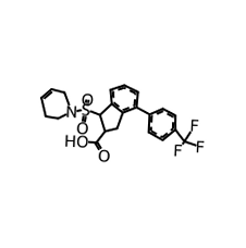 O=C(O)C1Cc2c(-c3ccc(C(F)(F)F)cc3)cccc2C1S(=O)(=O)N1CC=CCC1